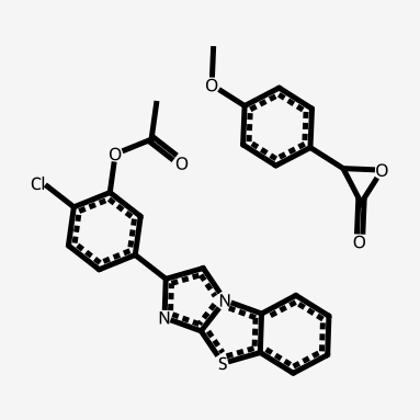 CC(=O)Oc1cc(-c2cn3c(n2)sc2ccccc23)ccc1Cl.COc1ccc(C2OC2=O)cc1